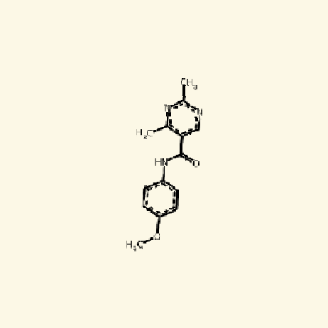 COc1ccc(NC(=O)c2cnc(C)nc2C)cc1